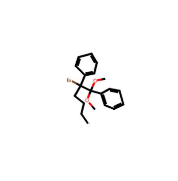 [CH2]CCCC(Br)(c1ccccc1)C(OC)(OC)c1ccccc1